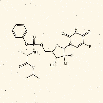 CC(C)OC(=O)[C@H](C)N[P@](=O)(OC[C@H]1O[C@@H](n2cc(F)c(=O)[nH]c2=O)C(Cl)(Cl)[C@@H]1O)Oc1ccccc1